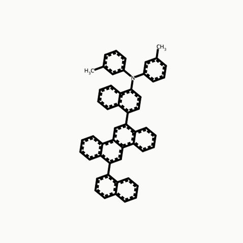 Cc1cccc(N(c2cccc(C)c2)c2ccc(-c3cc4c5ccccc5c(-c5cccc6ccccc56)cc4c4ccccc34)c3ccccc23)c1